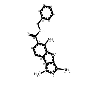 Cn1nc(N)c2sc3c(N)c(C(=O)OCc4ccccc4)ccc3c21